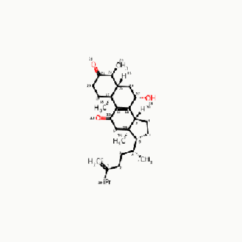 C=C(CC[C@@H](C)[C@H]1CC[C@H]2C3=C(C(=O)C[C@]12C)[C@@]1(C)CCC(=O)[C@@H](C)[C@@H]1C[C@@H]3O)C(C)C